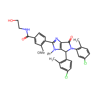 COc1cc(C(=O)NCCO)ccc1-c1nc2c(n1C(C)C)C(c1ccc(Cl)cc1C)N(c1cc(Cl)ccc1C)C2=O